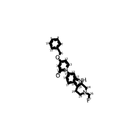 O=c1cc(OCc2ccccc2)ccn1-c1ccc2c3c([nH]c2c1)CN(CF)CC3